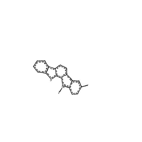 Cc1ccc2c(c1)c1ccc3c4ccccc4sc3c1n2I